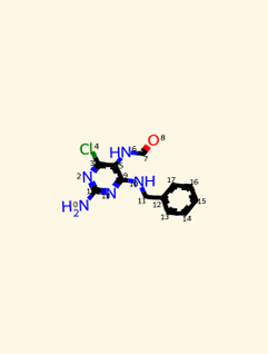 Nc1nc(Cl)c(NC=O)c(NCc2ccccc2)n1